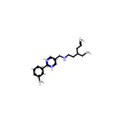 C=CCC(CC)CCNCc1cnc(-c2cccc(C)c2)nc1